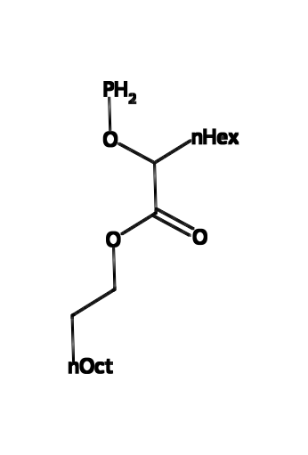 CCCCCCCCCCOC(=O)C(CCCCCC)OP